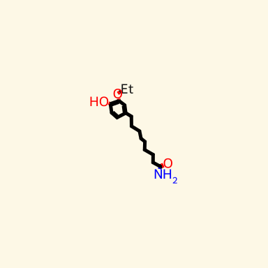 CCOc1cc(CCCCCCCCC(N)=O)ccc1O